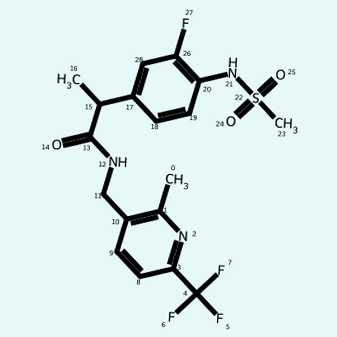 Cc1nc(C(F)(F)F)ccc1CNC(=O)C(C)c1ccc(NS(C)(=O)=O)c(F)c1